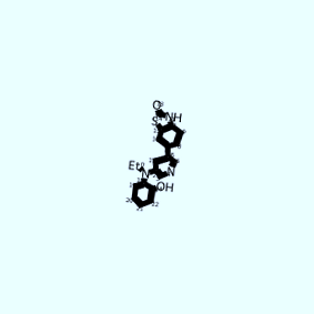 CCN(c1cncc(-c2ccc3[nH]c(=O)sc3c2)c1)c1ccccc1O